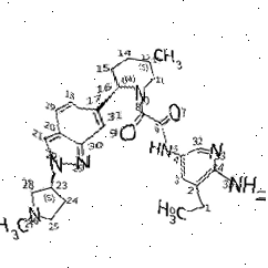 CCc1cc(NC(=O)C(=O)N2C[C@@H](C)CC[C@@H]2c2ccc3cn([C@H]4CCN(C)C4)nc3c2)cnc1N